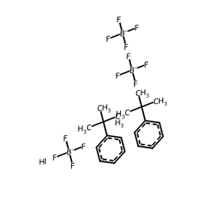 CC(C)(C)c1ccccc1.CC(C)(C)c1ccccc1.F[B-](F)(F)F.F[B-](F)(F)F.F[B-](F)(F)F.I